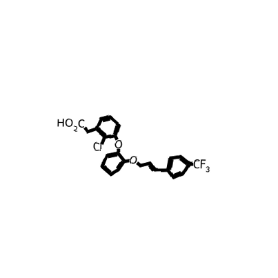 O=C(O)Cc1cccc(Oc2ccccc2OCC=Cc2ccc(C(F)(F)F)cc2)c1Cl